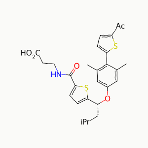 CC(=O)c1ccc(-c2c(C)cc(O[C@H](CC(C)C)c3ccc(C(=O)NCCC(=O)O)s3)cc2C)s1